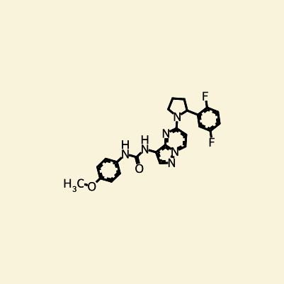 COc1ccc(NC(=O)Nc2cnn3ccc(N4CCCC4c4cc(F)ccc4F)nc23)cc1